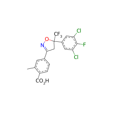 Cc1cc(C2=NOC(c3cc(Cl)c(F)c(Cl)c3)(C(F)(F)F)C2)ccc1C(=O)O